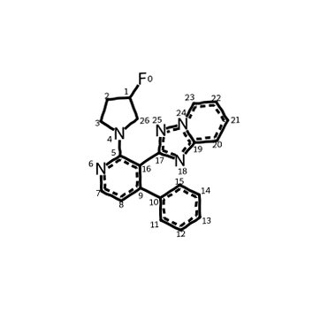 FC1CCN(c2nccc(-c3ccccc3)c2-c2nc3ccccn3n2)C1